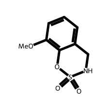 COc1cccc2c1OS(=O)(=O)NC2